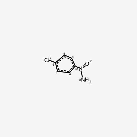 N[N+](=O)c1[c]cc(Cl)cc1